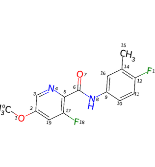 COc1cnc(C(=O)Nc2ccc(F)c(C)c2)c(F)c1